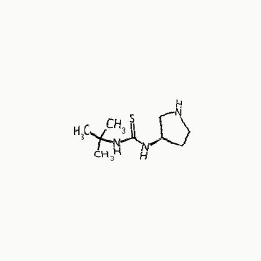 CC(C)(C)NC(=S)N[C@@H]1CCNC1